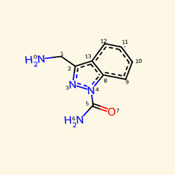 NCc1nn(C(N)=O)c2cc[c]cc12